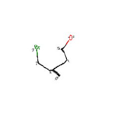 CC(CBr)CC[O]